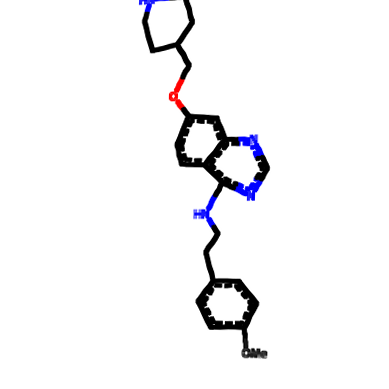 COc1ccc(CCNc2ncnc3cc(OCC4CCNCC4)ccc23)cc1